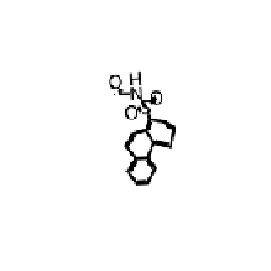 O=[C]NS(=O)(=O)c1cccc2c1ccc1ccccc12